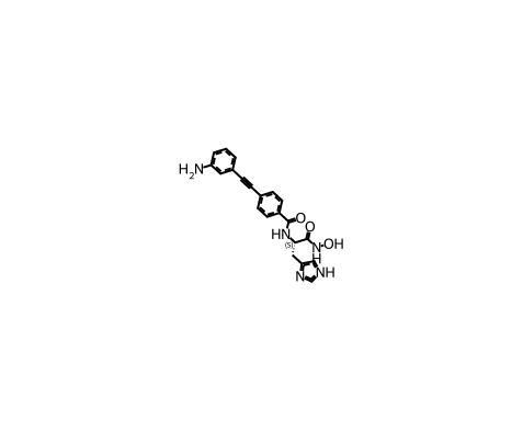 Nc1cccc(C#Cc2ccc(C(=O)N[C@@H](Cc3c[nH]cn3)C(=O)NO)cc2)c1